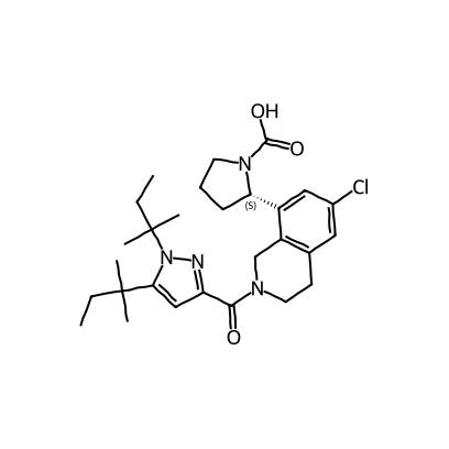 CCC(C)(C)c1cc(C(=O)N2CCc3cc(Cl)cc([C@@H]4CCCN4C(=O)O)c3C2)nn1C(C)(C)CC